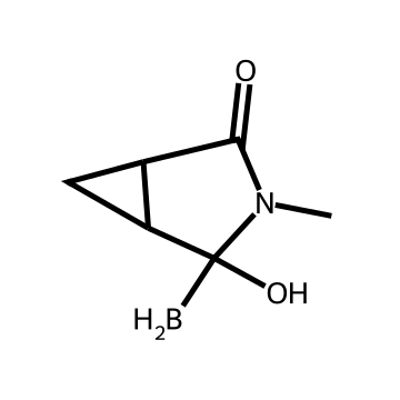 BC1(O)C2CC2C(=O)N1C